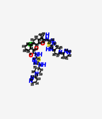 O=C(Nc1nnc(NC2CCN(c3cccnn3)CC2)s1)C(Oc1cc(C2(C(=O)Nc3nnc(NC4CCN(c5cccnn5)CC4)s3)CC2)ccc1Cl)c1ccccc1